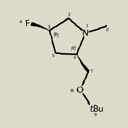 CN1C[C@H](F)C[C@@H]1COC(C)(C)C